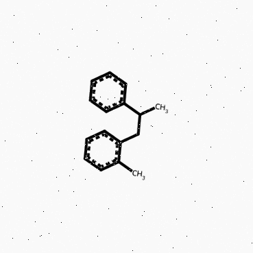 Cc1ccccc1CC(C)c1ccccc1